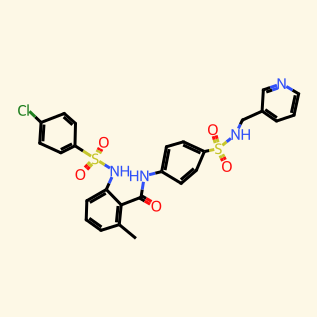 Cc1cccc(NS(=O)(=O)c2ccc(Cl)cc2)c1C(=O)Nc1ccc(S(=O)(=O)NCc2cccnc2)cc1